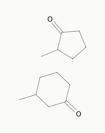 CC1CCCC(=O)C1.CC1CCCC1=O